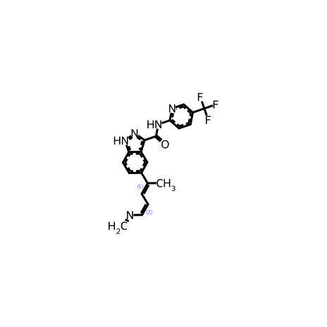 C=N/C=C\C=C(/C)c1ccc2[nH]nc(C(=O)Nc3ccc(C(F)(F)F)cn3)c2c1